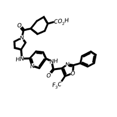 O=C(Nc1ccc(NC2CCN(C(=O)C3CCC(C(=O)O)CC3)C2)nc1)c1nc(-c2ccccc2)oc1C(F)(F)F